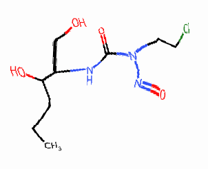 CCCC(O)C(CO)NC(=O)N(CCCl)N=O